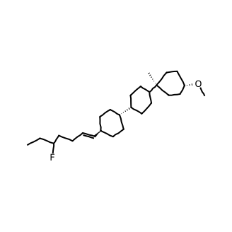 CCC(F)CC/C=C/[C@H]1CC[C@H](C2CCC([C@]3(C)CC[C@@H](OC)CC3)CC2)CC1